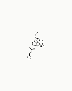 O=C(CCC1CCCC1)OC1=C2O[C@H]3C(=O)CCC4C5CC(C=C1)C2[C@]43CCN5CC1CC1